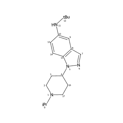 CC(C)N1CCC(n2ncc3cc(NC(C)(C)C)ccc32)CC1